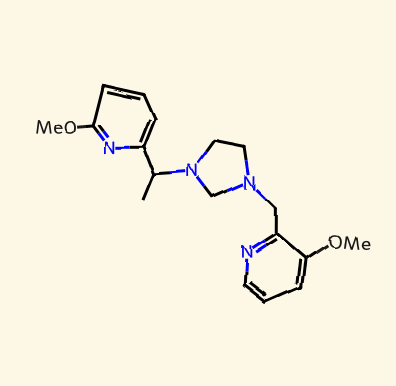 COc1cccc(C(C)N2CCN(Cc3ncccc3OC)C2)n1